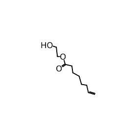 C=CCCCCCC(=O)OCCO